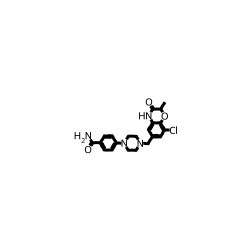 CC1Oc2c(Cl)cc(CN3CCN(c4ccc(C(N)=O)cc4)CC3)cc2NC1=O